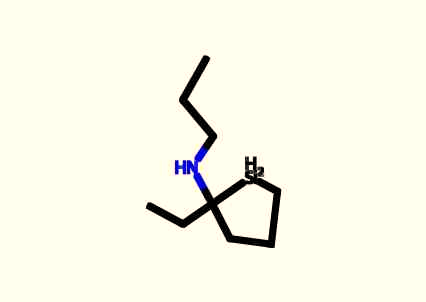 CCCNC1(CC)CCC[SiH2]1